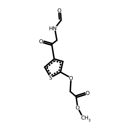 COC(=O)COc1cc(C(=O)CNC=O)cs1